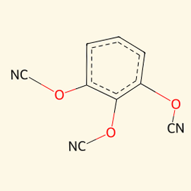 N#COc1cccc(OC#N)c1OC#N